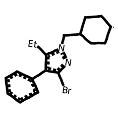 CCc1c(-c2ccccc2)c(Br)nn1CC1CC[CH]CC1